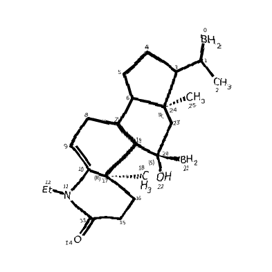 BC(C)C1CCC2C3CC=C4N(CC)C(=O)CC[C@]4(C)C3[C@@](B)(O)C[C@]12C